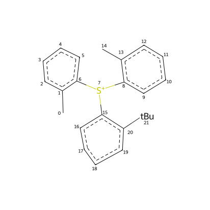 Cc1ccccc1[S+](c1ccccc1C)c1ccccc1C(C)(C)C